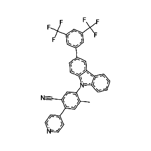 Cc1cc(-c2ccncc2)c(C#N)cc1-n1c2ccccc2c2cc(-c3cc(C(F)(F)F)cc(C(F)(F)F)c3)ccc21